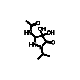 CC(=O)NC1NN(C(C)C)C(=O)C1(O)O